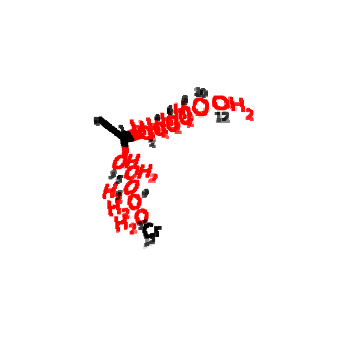 CC(=O)O.O.O.O.O.O.O.O.O.O.[Cr]